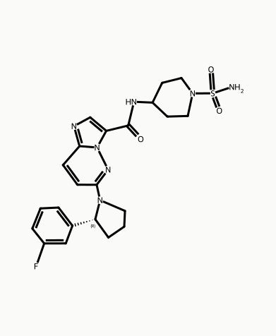 NS(=O)(=O)N1CCC(NC(=O)c2cnc3ccc(N4CCC[C@@H]4c4cccc(F)c4)nn23)CC1